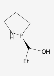 CCC(O)[P@]1CCCN1